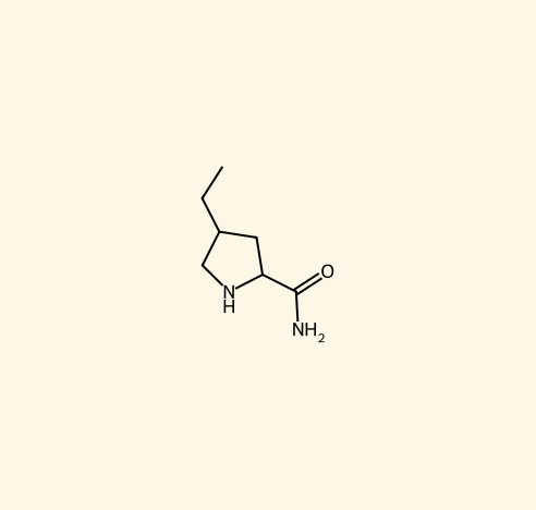 CCC1CNC(C(N)=O)C1